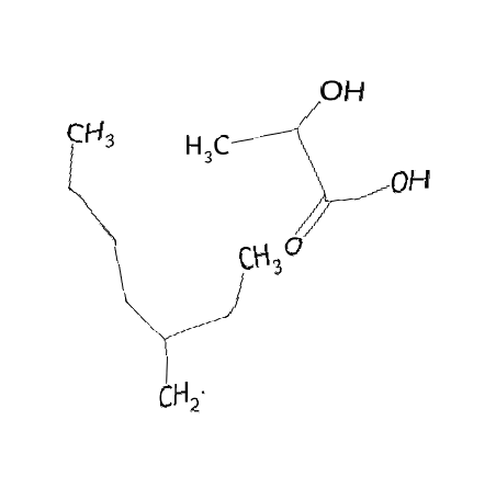 CC(O)C(=O)O.[CH2]C(CC)CCCC